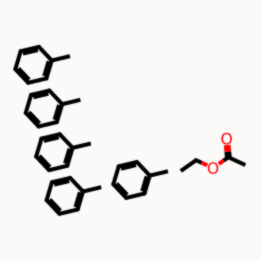 CCOC(C)=O.Cc1ccccc1.Cc1ccccc1.Cc1ccccc1.Cc1ccccc1.Cc1ccccc1